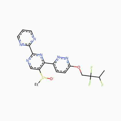 CC[S+]([O-])c1cnc(-c2ncccn2)nc1-c1ccc(OCC(F)(F)C(C)F)nn1